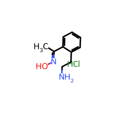 CC(=NO)c1ccccc1CCN.Cl